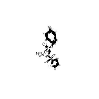 N.O=P(O)(CNS(=O)(=O)c1cccs1)Oc1ccc(Cl)cc1